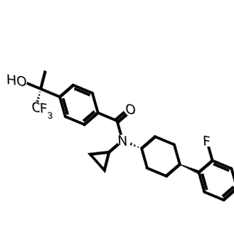 C[C@](O)(c1ccc(C(=O)N(C2CC2)[C@H]2CC[C@H](c3ccccc3F)CC2)cc1)C(F)(F)F